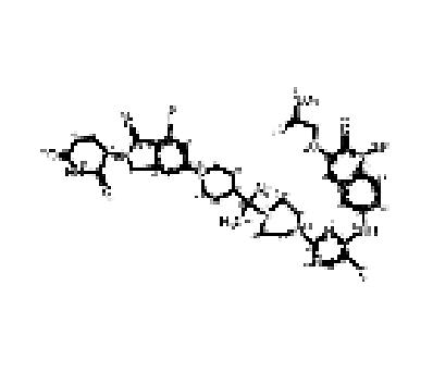 CNC(=O)COc1cc2cc(Nc3nc(N4CCN(C(C)(C)C5CCN(c6cc(F)c7c(c6)CN(C6CCC(=O)NC6=O)C7=O)CC5)CC4)ncc3Cl)ccc2n(C(C)C)c1=O